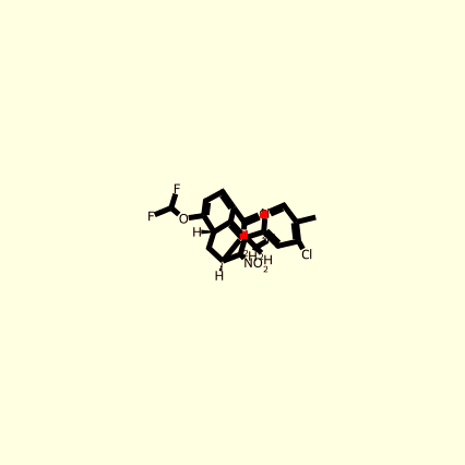 [2H]C([2H])([2H])N1C(=O)C2=CC=C(OC(F)F)[C@H]3C[C@@H]1C([N+](=O)[O-])C(c1cc(Cl)c(C)cn1)=C23